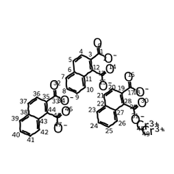 O=C([O-])c1ccc2ccccc2c1C(=O)[O-].O=C([O-])c1ccc2ccccc2c1C(=O)[O-].O=C([O-])c1ccc2ccccc2c1C(=O)[O-].[Cr+3].[Cr+3]